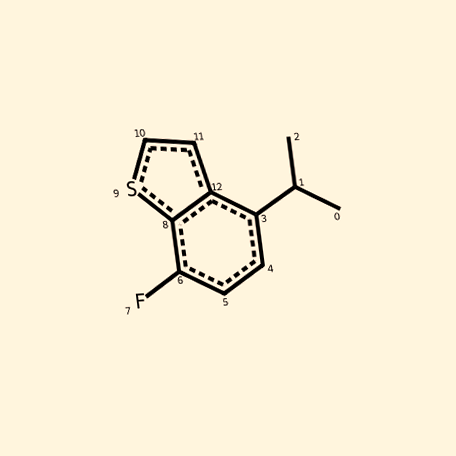 CC(C)c1ccc(F)c2sccc12